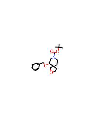 CC(C)(C)OC(=O)N1CC[C@]2(CCOC2)[C@@H](OCc2ccccc2)C1